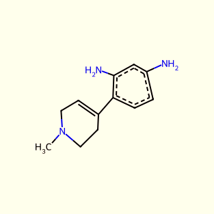 CN1CC=C(c2ccc(N)cc2N)CC1